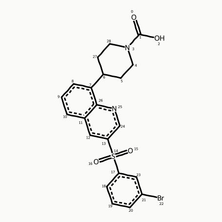 O=C(O)N1CCC(c2cccc3cc(S(=O)(=O)c4cccc(Br)c4)cnc23)CC1